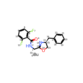 CC[C@H](C)C(NC(=O)c1c(F)cccc1F)C1=N[C@@H](Cc2ccccc2)CO1